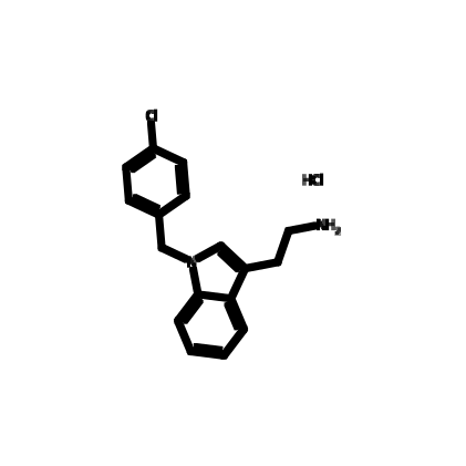 Cl.NCCc1cn(Cc2ccc(Cl)cc2)c2ccccc12